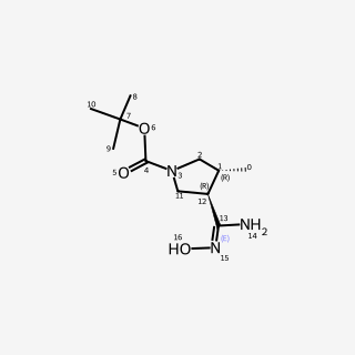 C[C@H]1CN(C(=O)OC(C)(C)C)C[C@@H]1/C(N)=N\O